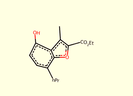 CCCc1ccc(O)c2c(C)c(C(=O)OCC)oc12